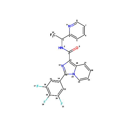 O=C(NC(c1ccccn1)C(F)(F)F)c1nc(-c2cc(F)c(F)c(F)c2)n2ccccc12